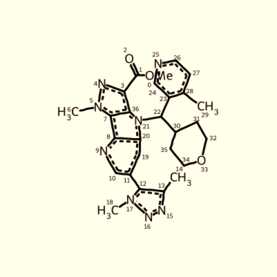 COC(=O)c1nn(C)c2c3ncc(-c4c(C)nnn4C)cc3n(C(c3cnccc3C)C3CCOCC3)c12